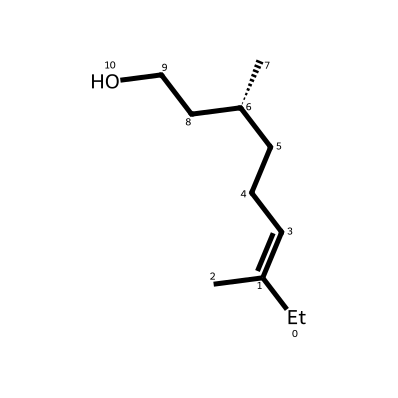 CC/C(C)=C/CC[C@@H](C)CCO